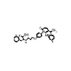 C=C(c1ccc(F)cc1)c1ccc(=O)n(-c2ccc(OCCCN[C@@H](Cc3ccccc3)C(=C)O)cc2)c1N